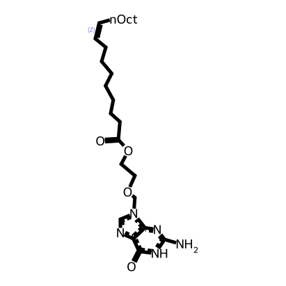 CCCCCCCC/C=C\CCCCCCCC(=O)OCCOCn1cnc2c(=O)[nH]c(N)nc21